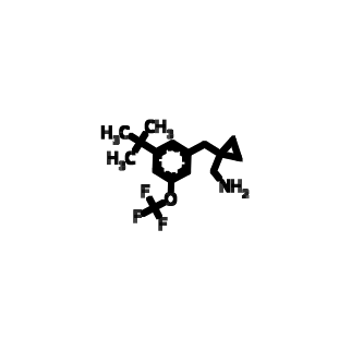 CC(C)(C)c1cc(CC2(CN)CC2)cc(OC(F)(F)F)c1